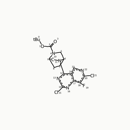 CC(C)(C)OC(=O)N1CC2CCC1CN2c1nc(Cl)nc2c(F)c(Cl)ncc12